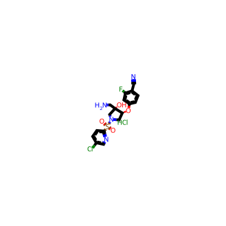 Cl.N#Cc1ccc(O[C@H]2CN(S(=O)(=O)c3ccc(Cl)cn3)C[C@]2(O)CN)cc1F